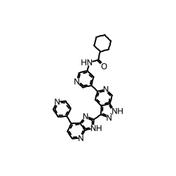 O=C(Nc1cncc(-c2cc3c(-c4nc5c(-c6ccncc6)ccnc5[nH]4)n[nH]c3cn2)c1)C1CCCCC1